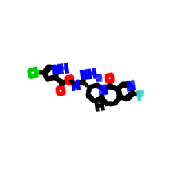 NC(=NOC(=O)c1cc(Cl)c[nH]1)[C@H]1CC[C@@H]2CCc3cc(F)ncc3C(=O)N2C1